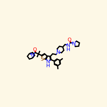 Cc1cc(C)cc(-c2[nH]c3sc(C(C)(C)C(=O)N4C5CCC4CC5)cc3c2CCN2CCC(CNC(=O)N3CCCC3)CC2)c1